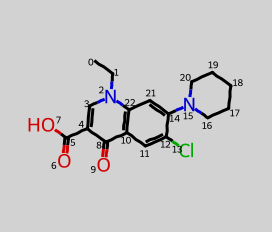 CCn1cc(C(=O)O)c(=O)c2cc(Cl)c(N3CCCCC3)cc21